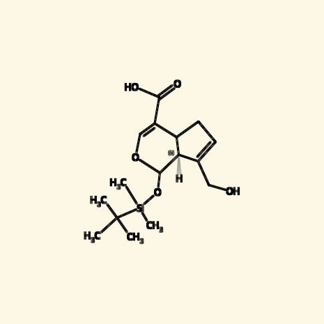 CC(C)(C)[Si](C)(C)OC1OC=C(C(=O)O)C2CC=C(CO)[C@@H]12